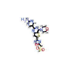 CS(=O)(=O)Cc1nc(-c2cc3nc(-c4cnc(N)nc4)nc(N4CCOCC4)c3s2)no1